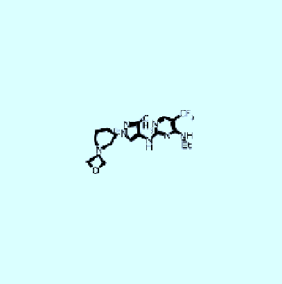 CCNc1nc(Nc2cn([C@H]3CCCN(C4COC4)C3)nc2C)ncc1C(F)(F)F